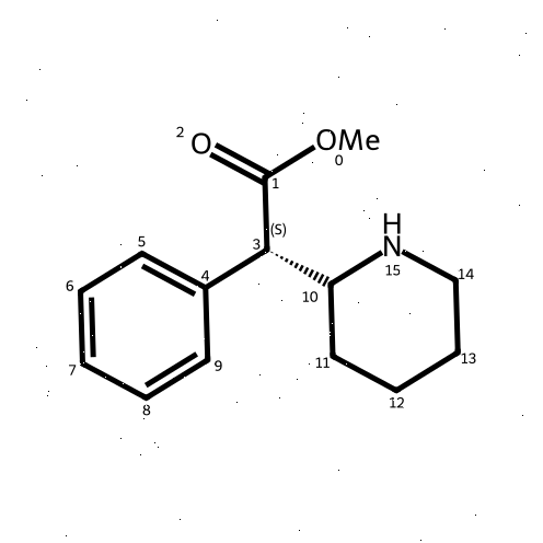 COC(=O)[C@@H](c1ccccc1)C1CCCCN1